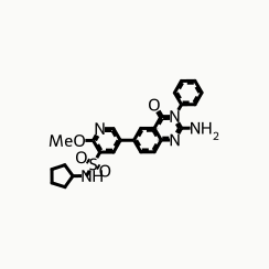 COc1ncc(-c2ccc3nc(N)n(-c4ccccc4)c(=O)c3c2)cc1S(=O)(=O)NC1CCCC1